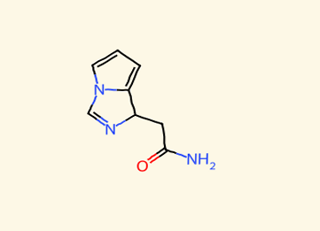 NC(=O)CC1N=Cn2cccc21